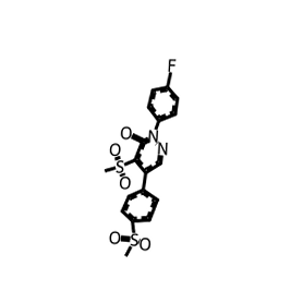 CS(=O)(=O)c1ccc(-c2cnn(-c3ccc(F)cc3)c(=O)c2S(C)(=O)=O)cc1